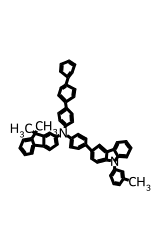 Cc1cccc(-n2c3ccccc3c3cc(-c4ccc(N(c5ccc(-c6ccc(-c7ccccc7)cc6)cc5)c5ccc6c(c5)C(C)(C)c5ccccc5-6)cc4)ccc32)c1